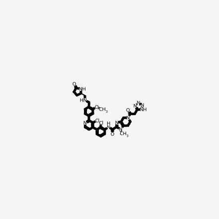 COc1cc(-c2nccc(-c3cccc(NC(=O)c4nc5c(n4C)CCN(C(=O)Cc4nnn[nH]4)C5)c3Cl)c2Cl)ccc1CNC[C@H]1CCC(=O)N1